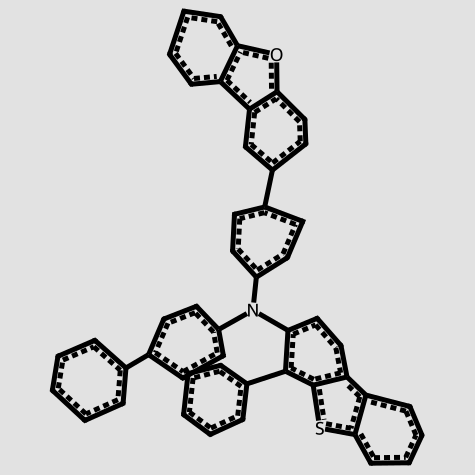 c1ccc(-c2ccc(N(c3ccc(-c4ccc5oc6ccccc6c5c4)cc3)c3ccc4c(sc5ccccc54)c3-c3ccccc3)cc2)cc1